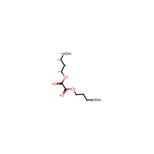 CCCCCCCCCCCCCOC(=O)C(=O)OCCCCCCCCCCCCC